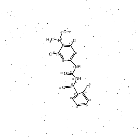 CCCCCCCCCCN(C)c1c(Cl)cc(NC(=O)NC(=O)c2ccccc2Cl)cc1Cl